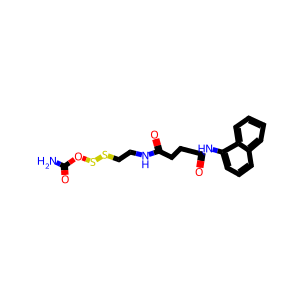 NC(=O)OSSCCNC(=O)CCC(=O)Nc1cccc2ccccc12